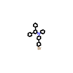 Brc1ccc(-c2ccc(N(c3ccccc3)c3cc(-c4ccccc4)cc(-c4ccccc4)c3)cc2)cc1